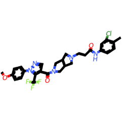 COc1ccc(-n2ncc(C(=O)N3CC4CN(CCC(=O)Nc5ccc(C)c(Cl)c5)CC4C3)c2C(F)(F)F)cc1